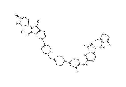 Cc1cccc(C)c1Nc1nn(C)c2nc(Nc3ccc(C4CCN(CC5CCN(c6ccc7c(c6)C(=O)N(C6CCC(=O)NC6=O)C7=O)CC5)CC4)cc3F)ncc12